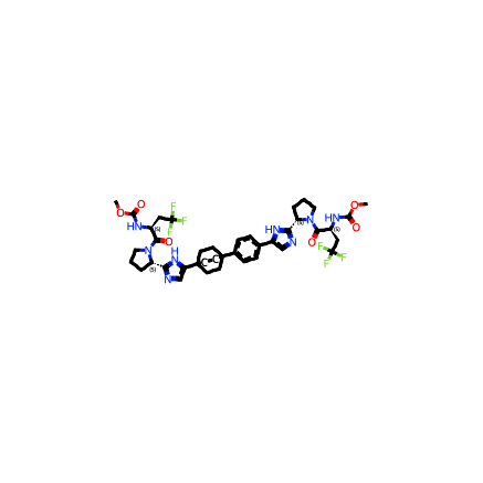 COC(=O)N[C@@H](CC(F)(F)F)C(=O)N1CCC[C@H]1c1ncc(-c2ccc(C34CCC(c5cnc([C@@H]6CCCN6C(=O)[C@H](CC(F)(F)F)NC(=O)OC)[nH]5)(CC3)CC4)cc2)[nH]1